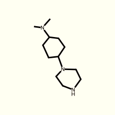 CN(C)C1CCC(N2CCNCC2)CC1